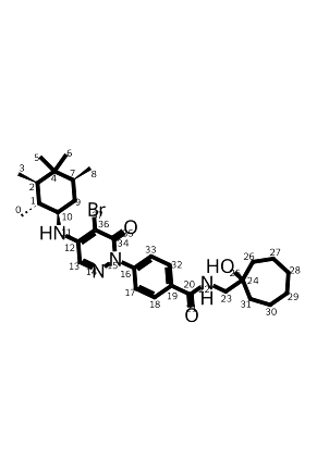 C[C@@H]1[C@@H](C)C(C)(C)[C@@H](C)C[C@H]1Nc1cnn(-c2ccc(C(=O)NCC3(O)CCCCCC3)cc2)c(=O)c1Br